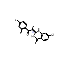 C/C(C(=O)c1ccc(Cl)cc1Cl)=C1/NC(=O)c2ccc(Cl)cc2N1